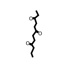 CCCC(=O)CCC(=O)CCC(=O)CC